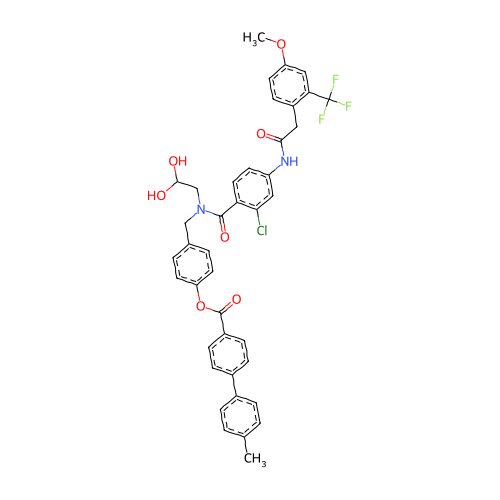 COc1ccc(CC(=O)Nc2ccc(C(=O)N(Cc3ccc(OC(=O)c4ccc(-c5ccc(C)cc5)cc4)cc3)CC(O)O)c(Cl)c2)c(C(F)(F)F)c1